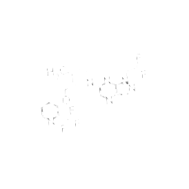 C[C@H]1CCN(c2cnc3cnn(CC(F)F)c3n2)C[C@H]1COc1cccnc1C(F)(F)F